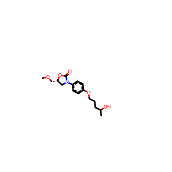 COC[C@H]1CN(c2ccc(OCCCC(C)O)cc2)C(=O)O1